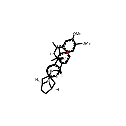 COc1ccc(C(C)NC(=O)c2ccc(N3[C@@H]4CC[C@H]3C[C@@H](NC(=O)c3cccc(OC)c3C)C4)nc2)cc1OC